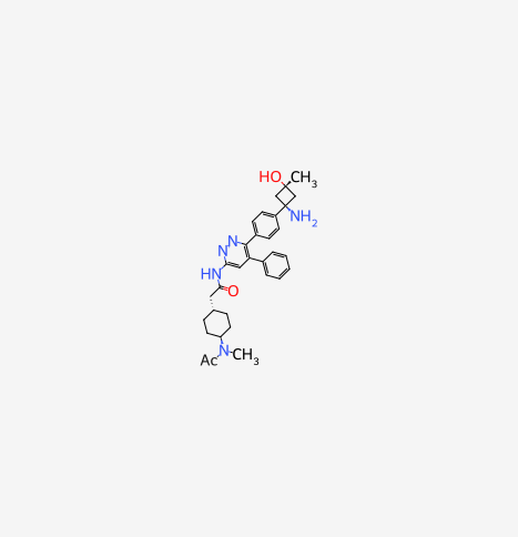 CC(=O)N(C)[C@H]1CC[C@H](CC(=O)Nc2cc(-c3ccccc3)c(-c3ccc([C@]4(N)C[C@](C)(O)C4)cc3)nn2)CC1